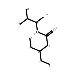 CCC(CC)CC(=O)OC(I)C(C)C